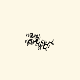 CC(C)Cc1nccc(C(=O)NCC(=O)N2CC(F)(F)C[C@H]2B(O)O)c1Cl